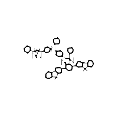 CC1(C)c2ccccc2-c2ccc(-c3ccc(-c4ccc5c(c4)C(C)(C)c4ccccc4-5)c4nc(-c5ccc(N(c6ccccc6)c6ccc(-c7nnc(-c8ccccc8)o7)cc6)cc5)c(-c5ccccc5)nc34)cc21